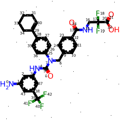 Nc1cc(NC(=O)N(Cc2ccc(C(=O)NCC(F)(F)C(=O)O)cc2)c2ccc(C3=CCCCC3)cc2)cc(C(F)(F)F)c1